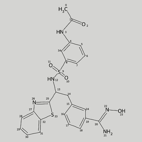 CC(=O)Nc1cccc(S(=O)(=O)NC(Cc2cccc(C(N)=NO)c2)c2nc3ccccc3s2)c1